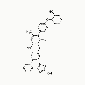 CCCc1nc(C)n(-c2ccc(OC3CCCC[C@@H]3O)cc2)c(=O)c1Cc1ccc(-c2ccccc2-c2noc(O)n2)cc1